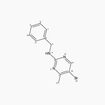 Cc1nc(NCc2ccccc2)ncc1Br